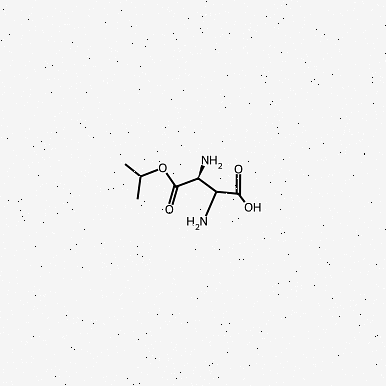 CC(C)OC(=O)[C@@H](N)C(N)C(=O)O